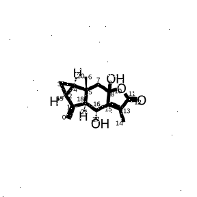 C=C1[C@H]2C[C@H]2[C@]2(C)CC3(O)OC(=O)C(C)=C3[C@H](O)[C@@H]12